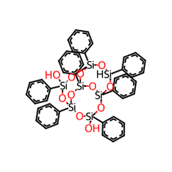 O[Si]1(c2ccccc2)O[Si]2(c3ccccc3)O[SiH](c3ccccc3)O[Si]3(c4ccccc4)O[Si](O)(c4ccccc4)O[Si](c4ccccc4)(O1)O[Si](c1ccccc1)(O2)O3